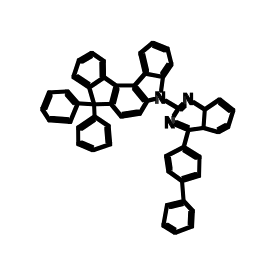 C1=CC2N=C(n3c4ccccc4c4c5c(ccc43)C(c3ccccc3)(c3ccccc3)c3ccccc3-5)N=C(c3ccc(-c4ccccc4)cc3)C2C=C1